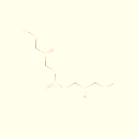 CCOC[PH](=O)CO[PH](=O)OC[PH](=O)COCC